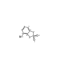 O=S1(=O)Cc2cccc(Br)c2C1